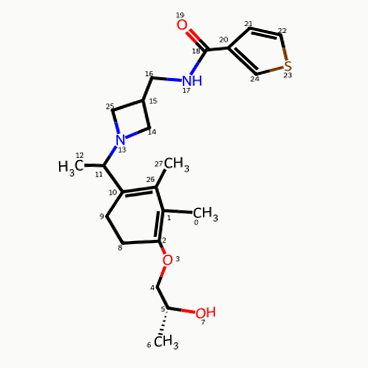 CC1=C(OC[C@@H](C)O)CCC(C(C)N2CC(CNC(=O)c3ccsc3)C2)=C1C